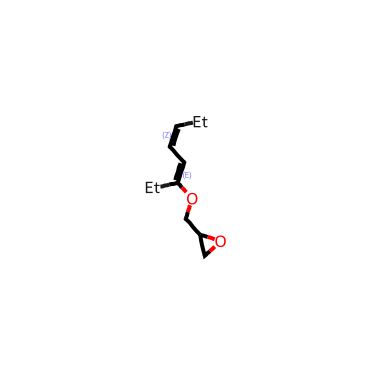 CC/C=C\C=C(/CC)OCC1CO1